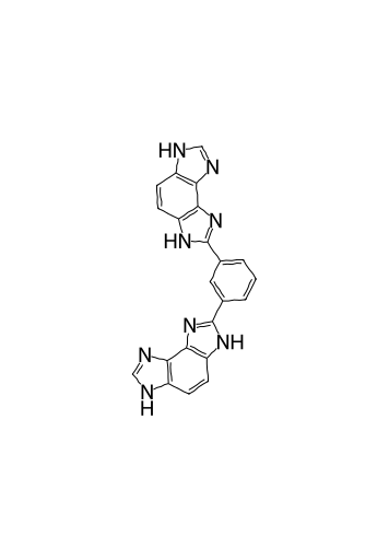 c1cc(-c2nc3c(ccc4[nH]cnc43)[nH]2)cc(-c2nc3c(ccc4[nH]cnc43)[nH]2)c1